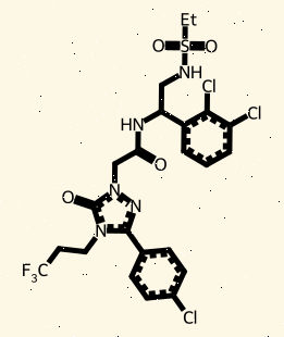 CCS(=O)(=O)NCC(NC(=O)Cn1nc(-c2ccc(Cl)cc2)n(CCC(F)(F)F)c1=O)c1cccc(Cl)c1Cl